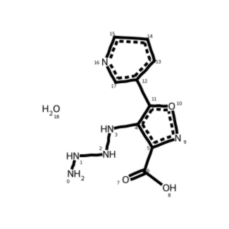 NNNNc1c(C(=O)O)noc1-c1cccnc1.O